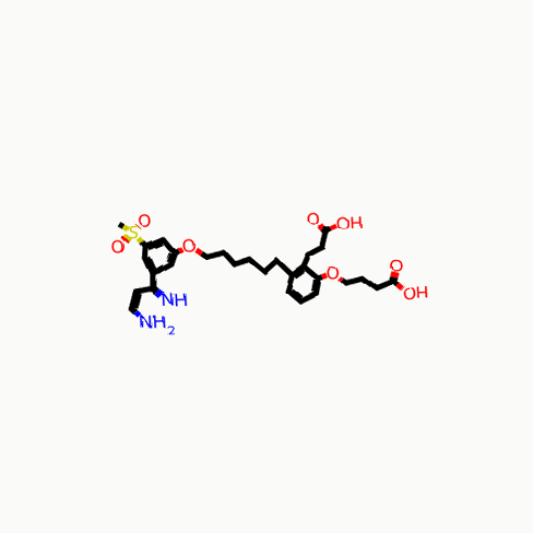 CS(=O)(=O)c1cc(OCCCCCCc2cccc(OCCCC(=O)O)c2CCC(=O)O)cc(C(=N)/C=C\N)c1